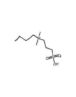 CCCC[N+](C)(C)CCCS(=O)(=O)O